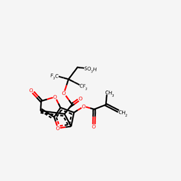 C=C(C)C(=O)Oc1c2c3oc1c(C(=O)OC(CS(=O)(=O)O)(C(F)(F)F)C(F)(F)F)c3C(=O)O2